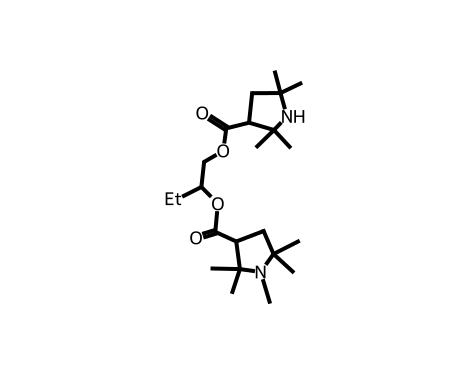 CCC(COC(=O)C1CC(C)(C)NC1(C)C)OC(=O)C1CC(C)(C)N(C)C1(C)C